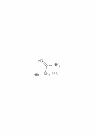 Br.N=C(N)N.P